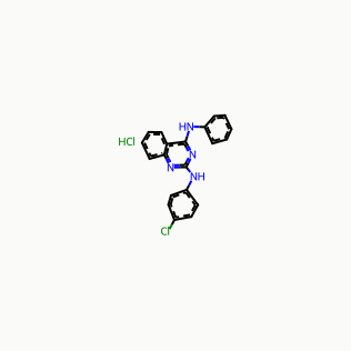 Cl.Clc1ccc(Nc2nc(Nc3ccccc3)c3ccccc3n2)cc1